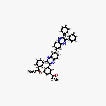 COC(=O)c1cccc(-c2nc3ccc(-c4ccc5nc(-c6ccccc6)c(-c6ccccc6)nc5c4)cc3nc2-c2cccc(C(=O)OC)c2)c1